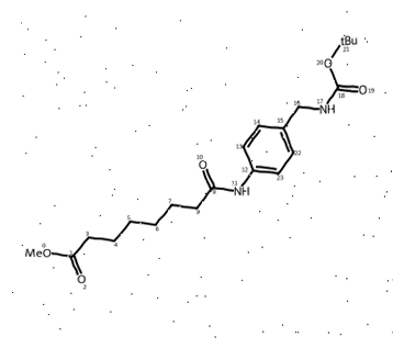 COC(=O)CCCCCCC(=O)Nc1ccc(CNC(=O)OC(C)(C)C)cc1